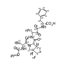 CCCC(NC(=O)C1[C@H]2CC[C@H](F)[C@H]2CN1C(=O)C(NC(=O)OC(C)C)C(C)(C)C)C(=O)C(=O)N[C@H](Cc1ccccc1)C(=O)O